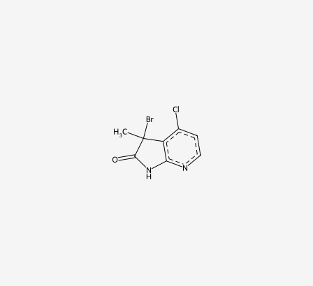 CC1(Br)C(=O)Nc2nccc(Cl)c21